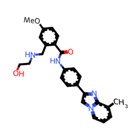 COc1ccc(C(=O)Nc2ccc(-c3cn4cccc(C)c4n3)cc2)c(CNCCO)c1